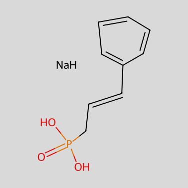 O=P(O)(O)CC=Cc1ccccc1.[NaH]